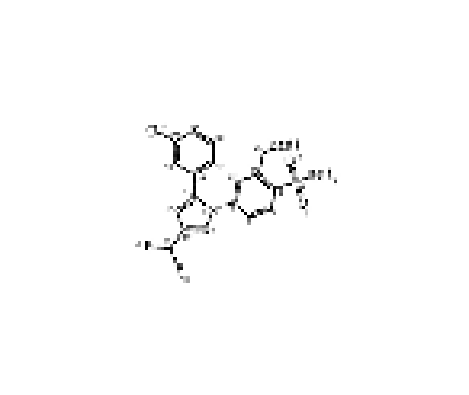 NS(=O)(=O)c1ccc(-n2nc(C(F)F)cc2-c2cccc(Cl)c2)cc1CO